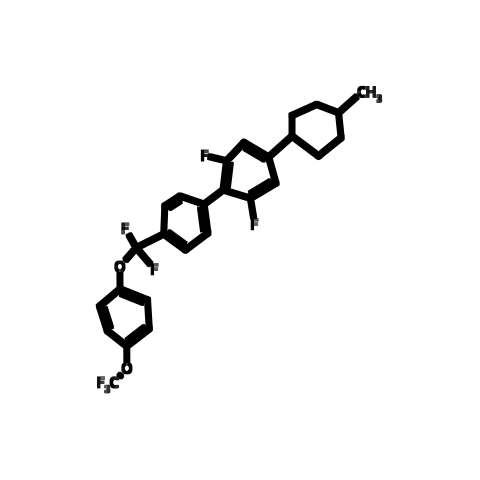 CC1CCC(c2cc(F)c(-c3ccc(C(F)(F)Oc4ccc(OC(F)(F)F)cc4)cc3)c(F)c2)CC1